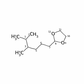 CC(C)C(C)CCCC1OCCO1